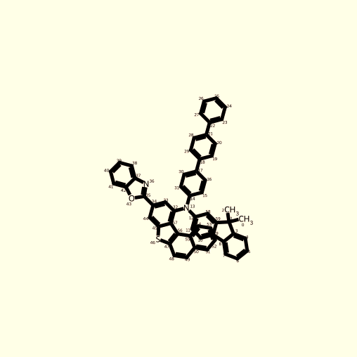 CC1(C)c2ccccc2-c2ccc(N(c3ccc(-c4ccc(-c5ccccc5)cc4)cc3)c3cc(-c4nc5ccccc5o4)cc4sc5ccc6ccccc6c5c34)cc21